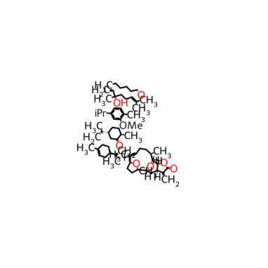 C=C(C)C1CC=C(C)CC1.C=C(C)[C@@H]1CC[C@@H](C)C(=O)C1.C=C1C(=O)O[C@H]2[C@H]3O[C@@H](C[C@@H]12)[C@@]1(C)CC[C@H](O1)/C(C)=C/CC[C@H]3C.C=CC(C)(O)CCC=C(C)C.CCCCCC=O.COc1cc(C(C)C)ccc1C